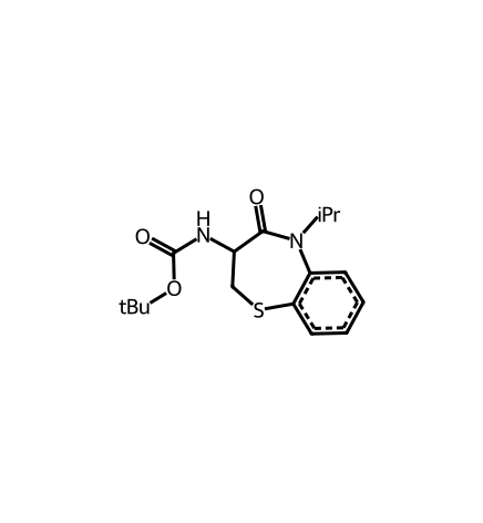 CC(C)N1C(=O)C(NC(=O)OC(C)(C)C)CSc2ccccc21